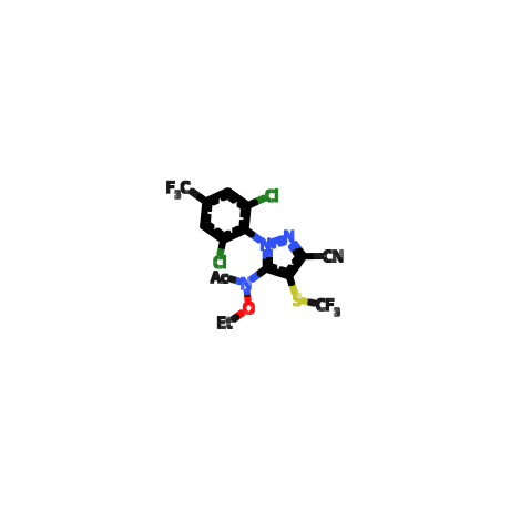 CCON(C(C)=O)c1c(SC(F)(F)F)c(C#N)nn1-c1c(Cl)cc(C(F)(F)F)cc1Cl